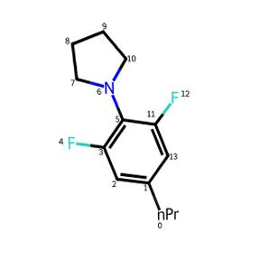 CCCc1cc(F)c(N2CCCC2)c(F)c1